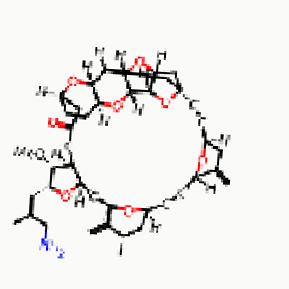 C=C1C[C@@H]2CC[C@@]34C[C@H]5[C@H]6O[C@H](CC[C@@H]6O[C@H]6[C@@H](O3)[C@@H](C4)O[C@@H]56)CC(=O)C[C@@H]3[C@@H](OC)[C@@H](CC(C)CN)O[C@H]3C[C@H]3O[C@@H](CC[C@@H]1O2)C[C@@H](C)C3=C